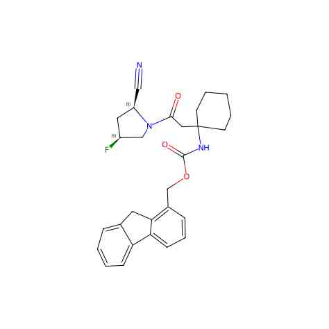 N#C[C@@H]1C[C@H](F)CN1C(=O)CC1(NC(=O)OCc2cccc3c2Cc2ccccc2-3)CCCCC1